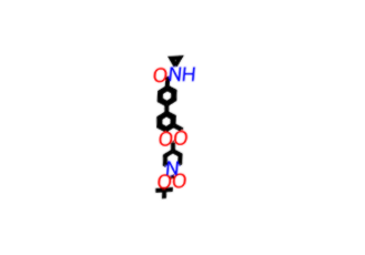 CC(C)(C)OC(=O)N1CCC(C2OCc3cc(-c4ccc(C(=O)NC5CC5)cc4)ccc3O2)CC1